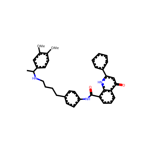 COc1ccc(C(C)NCCCCc2ccc(NC(=O)c3cccc4c(=O)cc(-c5ccccc5)[nH]c34)cc2)cc1OC